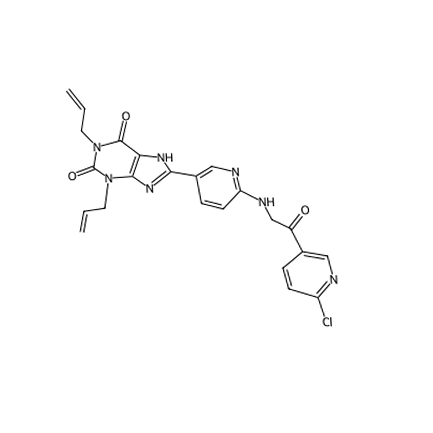 C=CCn1c(=O)c2[nH]c(-c3ccc(NCC(=O)c4ccc(Cl)nc4)nc3)nc2n(CC=C)c1=O